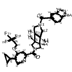 O=C(c1ccc2[nH]nnc2c1)N1C[C@@H]2[C@H](C1)[C@H]1CN(C(=O)c3cc(OCC(F)(F)F)c(C4CC4)cn3)C[C@@H]21